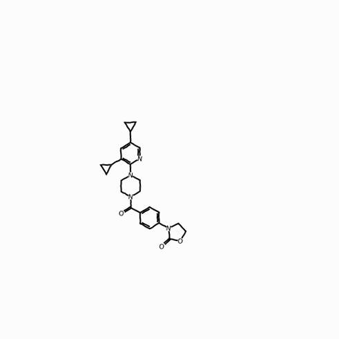 O=C(c1ccc(N2CCOC2=O)cc1)N1CCN(c2ncc(C3CC3)cc2C2CC2)CC1